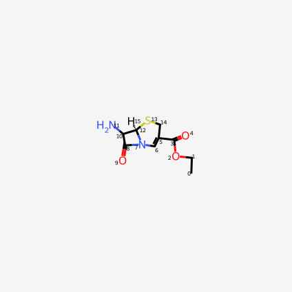 CCOC(=O)C1=CN2C(=O)C(N)[C@H]2SC1